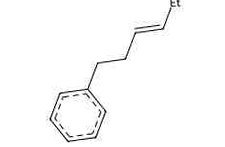 CC/C=C/CCc1ccccc1